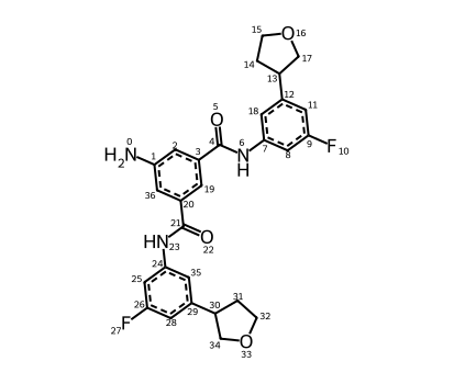 Nc1cc(C(=O)Nc2cc(F)cc(C3CCOC3)c2)cc(C(=O)Nc2cc(F)cc(C3CCOC3)c2)c1